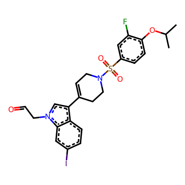 CC(C)Oc1ccc(S(=O)(=O)N2CC=C(c3cn(CC=O)c4cc(I)ccc34)CC2)cc1F